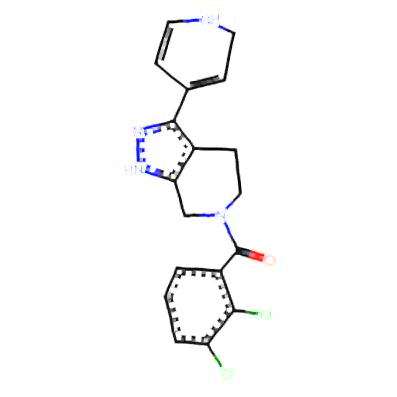 O=C(c1cccc(Cl)c1Cl)N1CCc2c(C3=CCNC=C3)n[nH]c2C1